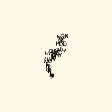 COc1cc(/N=N/c2ccc([N+](=O)[O-])cc2)c(OC)cc1/N=N/c1ccc(N(C)CCCC(=O)NCc2cn(CCOCCOC(CC(=O)NCCCCCCNC(=O)c3ccc(-c4c5ccc(=[N+](C)C)cc-5oc5cc(N(C)C)ccc45)c(C(=O)[O-])c3)O[C@@H]3O[C@H](CO)[C@@H](O)[C@H](O)[C@H]3O)nn2)cc1